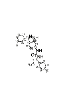 COC[C@H](NC(=O)Nc1cc2[nH]nc(-c3ccnc(C)c3)c2cn1)c1ccc(F)cc1